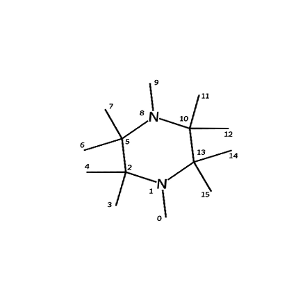 CN1C(C)(C)C(C)(C)N(C)C(C)(C)C1(C)C